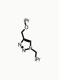 CC(C)Cn1cc(COC(C)C)nn1